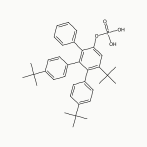 CC(C)(C)c1ccc(-c2c(C(C)(C)C)cc(OP(=O)(O)O)c(-c3ccccc3)c2-c2ccc(C(C)(C)C)cc2)cc1